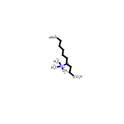 CCCCCCCCCCCCCCC(CCC(=O)O)[N+](C)(C)C